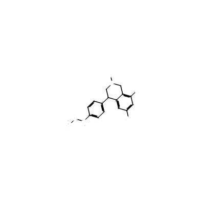 CN1Cc2c(Cl)cc(Cl)cc2C(c2ccc(SNN)cc2)C1